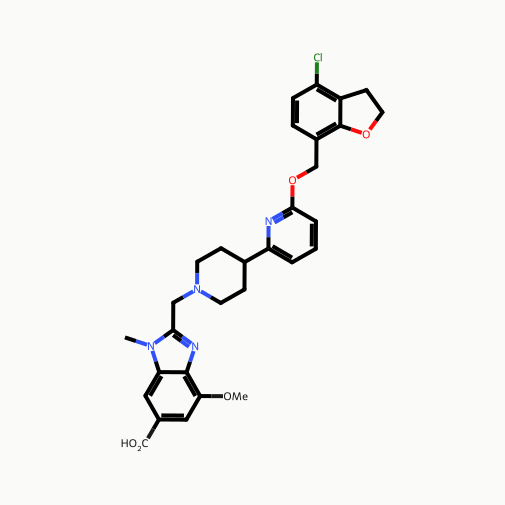 COc1cc(C(=O)O)cc2c1nc(CN1CCC(c3cccc(OCc4ccc(Cl)c5c4OCC5)n3)CC1)n2C